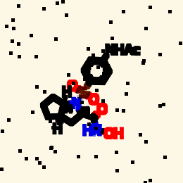 CC(=O)Nc1ccc(S(=O)(=O)N2[C@@H](C(=O)NO)C[C@H]3CCC[C@H]32)cc1